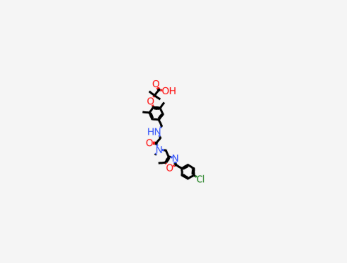 Cc1cc(CNCC(=O)N(C)Cc2nc(-c3ccc(Cl)cc3)oc2C)cc(C)c1OC(C)(C)C(=O)O